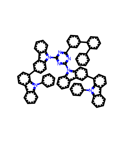 c1ccc(-c2ccccc2-c2cccc(-c3nc(-n4c5ccccc5c5cc(-c6cccc7c8ccccc8n(-c8ccccc8)c67)ccc54)nc(-n4c5ccccc5c5cc(-c6cccc7c8ccccc8n(-c8ccccc8)c67)ccc54)n3)c2)cc1